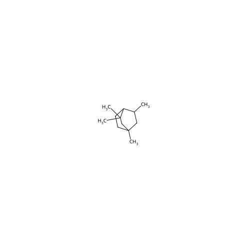 CC1CC2(C)CCC1C(C)(C)C2